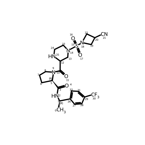 C[C@@H](NC(=O)[C@H]1CCCN1C(=O)C1CN(S(=O)(=O)N2CC(C#N)C2)CCN1)c1ccc(C(F)(F)F)cc1